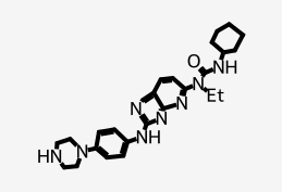 CCN(C(=O)NC1CCCCC1)c1ccc2cnc(Nc3ccc(N4CCNCC4)cc3)nc2n1